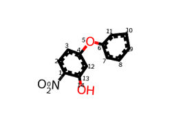 O=[N+]([O-])c1ccc(Oc2cc[c]cc2)cc1O